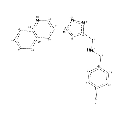 Fc1ccc(CNCc2cn(-c3cnc4ccccc4c3)nn2)cc1